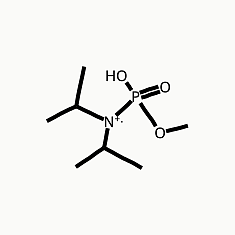 COP(=O)(O)[N+](C(C)C)C(C)C